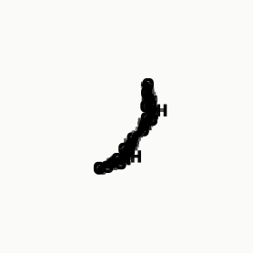 O=C(Oc1ccc(OCC2CO2)cc1)c1cc(C(=O)Oc2ccc(OCCCCOc3ccc(OC(=O)c4cc(C(=O)Oc5ccc(OCC6CO6)cc5)[pH]n4)cc3)cc2)[pH]n1